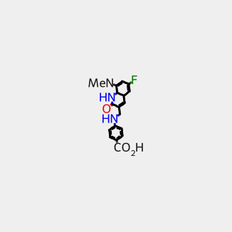 CNC1=CC(F)=CC2C=C(CNc3ccc(C(=O)O)cc3)C(=O)NC12